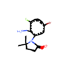 CC1(C)CCC(=O)N1c1cc(Br)cc(F)c1N